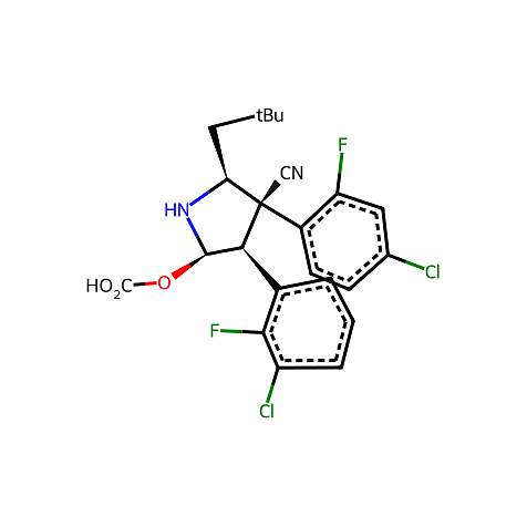 CC(C)(C)C[C@@H]1N[C@H](OC(=O)O)[C@H](c2cccc(Cl)c2F)[C@@]1(C#N)c1ccc(Cl)cc1F